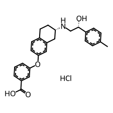 Cc1ccc([C@@H](O)CN[C@H]2CCc3ccc(Oc4cccc(C(=O)O)c4)cc3C2)cc1.Cl